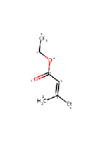 CC/C(C)=C/C(=O)OCC(F)(F)F